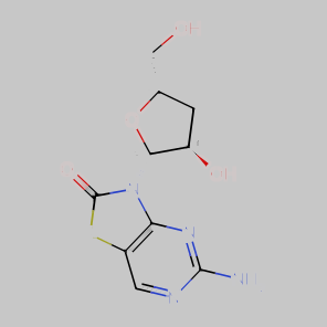 Nc1ncc2sc(=O)n([C@@H]3O[C@H](CO)C[C@H]3O)c2n1